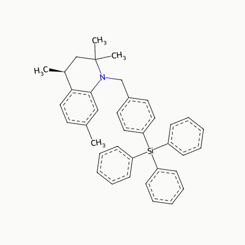 Cc1ccc2c(c1)N(Cc1ccc([Si](c3ccccc3)(c3ccccc3)c3ccccc3)cc1)C(C)(C)C[C@@H]2C